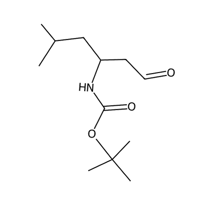 CC(C)CC(CC=O)NC(=O)OC(C)(C)C